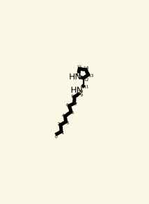 CCCCCCCCCCNC[C@@H]1CCCN1